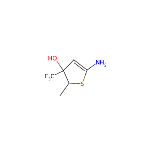 CC1SC(N)=CC1(O)C(F)(F)F